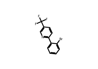 FC(F)(F)c1ccc(-c2ccccc2Br)nc1